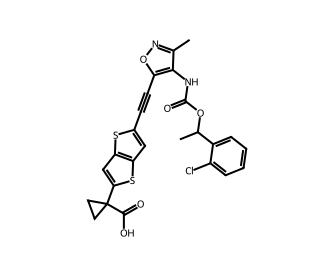 Cc1noc(C#Cc2cc3sc(C4(C(=O)O)CC4)cc3s2)c1NC(=O)OC(C)c1ccccc1Cl